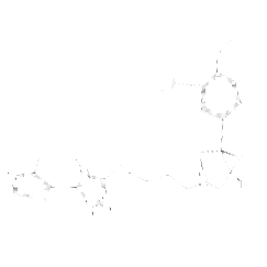 COc1ccc(C23C[C@@H]2CN(CCCSc2nnc(-c4ocnc4C)n2C)C3)cc1Cl